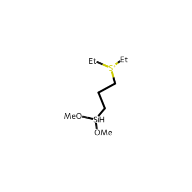 CC[S+](CC)CCC[SiH](OC)OC